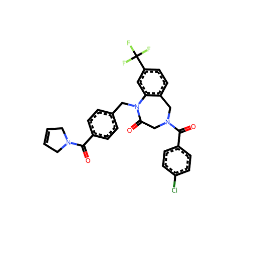 O=C(c1ccc(CN2C(=O)CN(C(=O)c3ccc(Cl)cc3)Cc3ccc(C(F)(F)F)cc32)cc1)N1CC=CC1